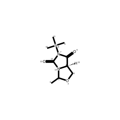 CC1OC[C@@H]2C(=O)N([Si](C)(C)C)C(=O)N12